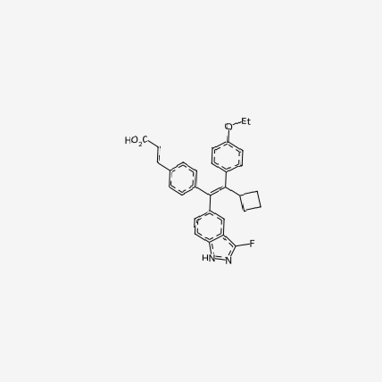 CCOc1ccc(C(=C(c2ccc(C=CC(=O)O)cc2)c2ccc3[nH]nc(F)c3c2)C2CCC2)cc1